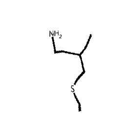 CSCC(C)CN